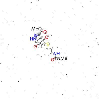 CNC(=O)NCCCSC1=CC(=O)c2[nH]nc(C(=O)OC)c2C1=O